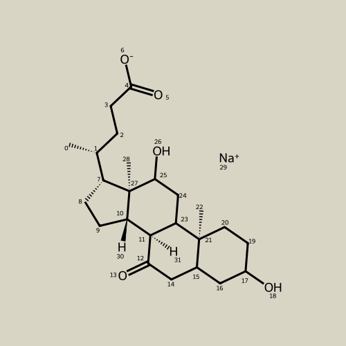 C[C@H](CCC(=O)[O-])[C@H]1CC[C@H]2[C@@H]3C(=O)CC4CC(O)CC[C@]4(C)C3CC(O)[C@]12C.[Na+]